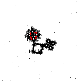 C1=Cc2cc3ccc(cc4nc(cc5ccc(cc1n2)[nH]5)C=C4)[nH]3.Cl.Fc1c(F)c(F)c([B-](c2c(F)c(F)c(F)c(F)c2F)(c2c(F)c(F)c(F)c(F)c2F)c2c(F)c(F)c(F)c(F)c2F)c(F)c1F.c1cc[c]([Zn-2]([c]2ccccc2)([c]2ccccc2)[c]2ccccc2)cc1